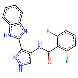 O=C(Nc1c[nH]nc1-c1nc2ccccc2[nH]1)c1c(F)cccc1F